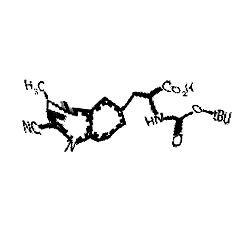 Cn1c(C#N)nc2ccc(CC(NC(=O)OC(C)(C)C)C(=O)O)cc21